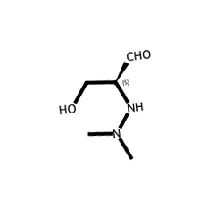 CN(C)N[C@H](C=O)CO